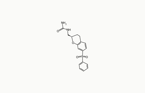 NC(=O)NC[C@H]1CCc2ccc(S(=O)(=O)c3ccccc3)cc2O1